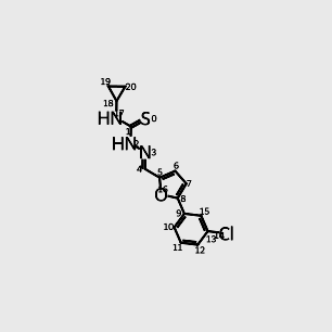 S=C(N/N=C/c1ccc(-c2cccc(Cl)c2)o1)NC1CC1